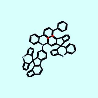 c1ccc(-c2ccc(-c3ccccc3N(c3ccc4c(c3)C3(c5ccccc5Oc5ccccc53)c3ccccc3-4)c3ccc4c(c3)C3(c5ccccc5Oc5ccccc53)c3c-4ccc4ccccc34)cc2)cc1